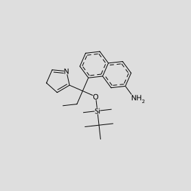 CCC(O[Si](C)(C)C(C)(C)C)(C1=CCC=N1)c1cccc2ccc(N)cc12